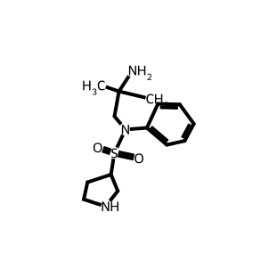 CC(C)(N)CN(c1ccccc1)S(=O)(=O)C1CCNC1